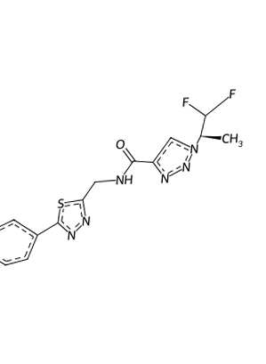 C[C@H](C(F)F)n1cc(C(=O)NCc2nnc(-c3ccccc3)s2)nn1